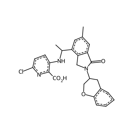 Cc1cc2c(c(C(C)Nc3ccc(Cl)nc3C(=O)O)c1)CN(C1COc3ccccc3C1)C2=O